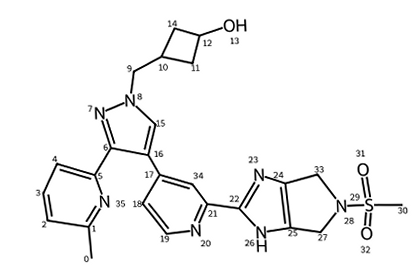 Cc1cccc(-c2nn(CC3CC(O)C3)cc2-c2ccnc(-c3nc4c([nH]3)CN(S(C)(=O)=O)C4)c2)n1